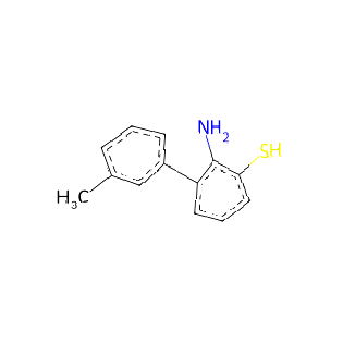 Cc1cccc(-c2cccc(S)c2N)c1